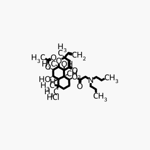 C=C[C@@]1(C)CC(=O)[C@]2(O)[C@@]3(C)[C@@H](OC(=O)CN(CCC)CCC)CCC(C)(C)[C@@H]3[C@H](O)[C@H](OC(C)=O)[C@@]2(C)O1.Cl